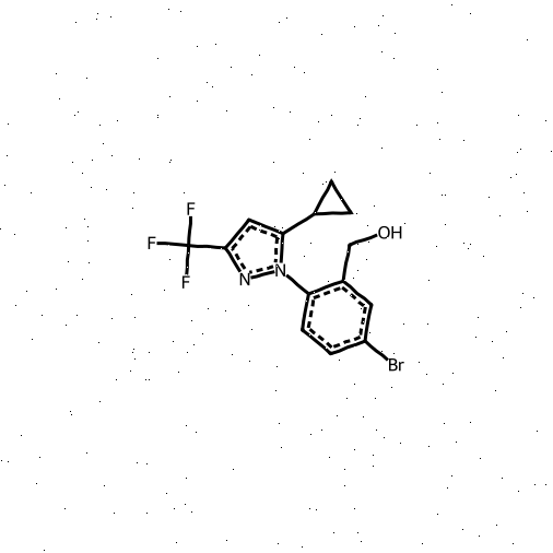 OCc1cc(Br)ccc1-n1nc(C(F)(F)F)cc1C1CC1